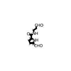 O=[C]CCNC(=O)c1ccc(C=O)[nH]1